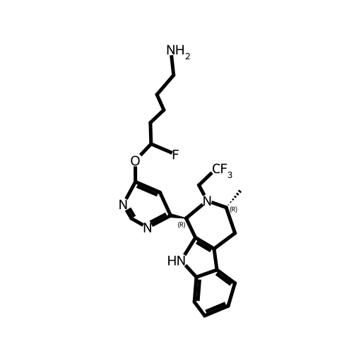 C[C@@H]1Cc2c([nH]c3ccccc23)[C@@H](c2cc(OC(F)CCCCN)ncn2)N1CC(F)(F)F